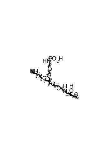 NCCOCCOCC(COCCOCCNCC(O)CC1CO1)COCCOCCNC(=O)O